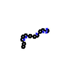 c1cnc(-c2ccc3ccc(-c4ccc5ccc(-c6ccc(-c7ccc8ccc9ccc(-c%10ccc%11ccccc%11c%10)nc9c8n7)cc6)cc5n4)cc3n2)nc1